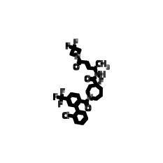 C[C@H](/C=C/C(=O)N1CC(F)(F)C1)NC(=O)[C@@]1(F)CCCN(C(=O)c2ccc(C(F)(F)F)cc2-c2ccccc2Cl)CC1